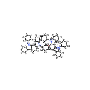 c1ccc(-n2c3ccccc3c3ccc4c(c5ccccc5n4-c4ccccc4-c4ccccc4-n4c5ccccc5c5c4ccc4c6ccccc6n(-c6ccccc6)c45)c32)cc1